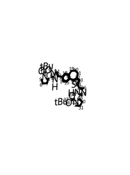 CC(C)(C)OC(=O)N1CCC[C@H]1c1ncc(-c2ccc3c(c2)CCCc2cc(-c4cnc([C@@H]5CCCN5C(=O)OC(C)(C)C)[nH]4)sc2-3)[nH]1